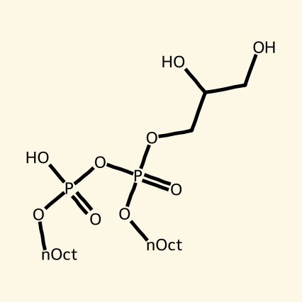 CCCCCCCCOP(=O)(O)OP(=O)(OCCCCCCCC)OCC(O)CO